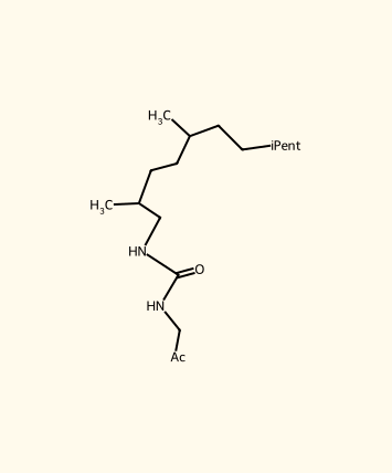 CCCC(C)CCC(C)CCC(C)CNC(=O)NCC(C)=O